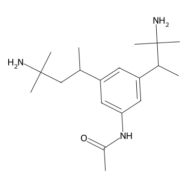 CC(=O)Nc1cc(C(C)CC(C)(C)N)cc(C(C)C(C)(C)N)c1